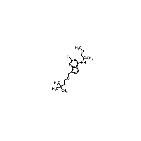 COC[C@@H](C)Nc1cc(Cl)nc2c1ccn2COCC[Si](C)(C)C